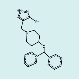 CCc1n[nH]cc1CN1CCC(OC(c2ccccc2)c2ccccc2)CC1